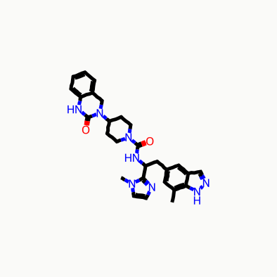 Cc1cc(CC(NC(=O)N2CCC(N3Cc4ccccc4NC3=O)CC2)c2nccn2C)cc2cn[nH]c12